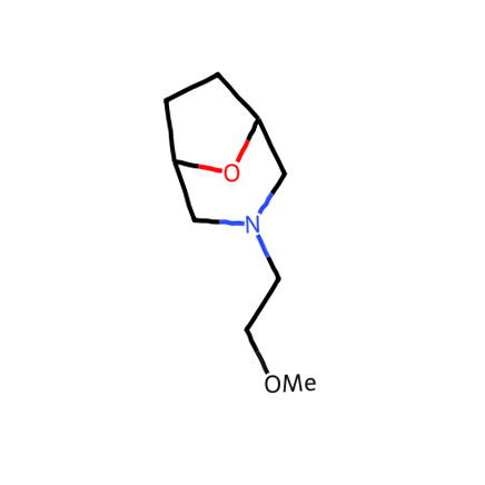 COCCN1CC2CCC(C1)O2